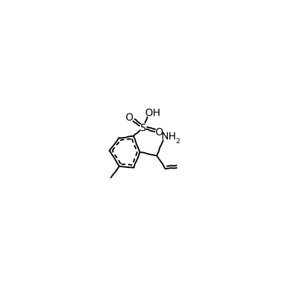 C=CC(N)c1cc(C)ccc1S(=O)(=O)O